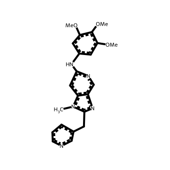 COc1cc(Nc2cc3c(cn2)nc(Cc2cccnc2)n3C)cc(OC)c1OC